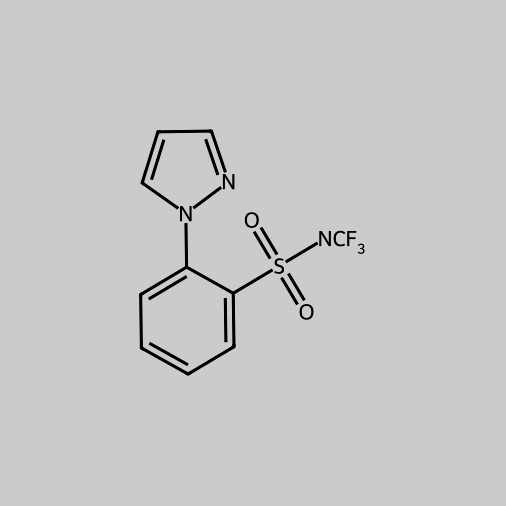 O=S(=O)(NC(F)(F)F)c1ccccc1-n1cccn1